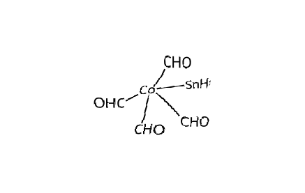 O=[CH][Co]([SnH])([CH]=O)([CH]=O)[CH]=O